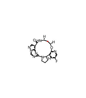 O=C1N[C@H]2C[C@H](C2)Oc2ncc(F)cc2[C@H]2CCCN2c2ncn3ncc1c3n2